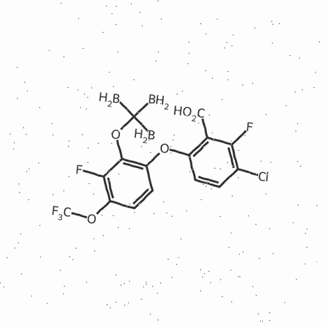 BC(B)(B)Oc1c(Oc2ccc(Cl)c(F)c2C(=O)O)ccc(OC(F)(F)F)c1F